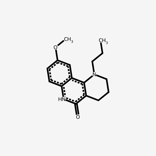 CCCN1CCCc2c1c1cc(OC)ccc1[nH]c2=O